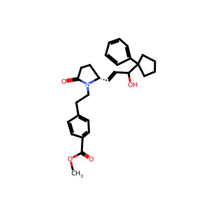 COC(=O)c1ccc(CCN2C(=O)CC[C@@H]2/C=C/C(O)C2(c3ccccc3)CCCC2)cc1